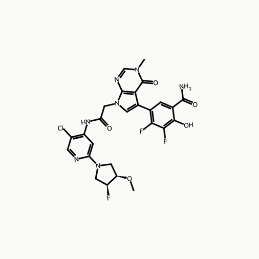 CO[C@@H]1CN(c2cc(NC(=O)Cn3cc(-c4cc(C(N)=O)c(O)c(F)c4F)c4c(=O)n(C)cnc43)c(Cl)cn2)C[C@@H]1F